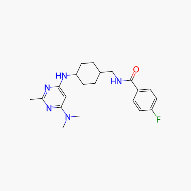 Cc1nc(NC2CCC(CNC(=O)c3ccc(F)cc3)CC2)cc(N(C)C)n1